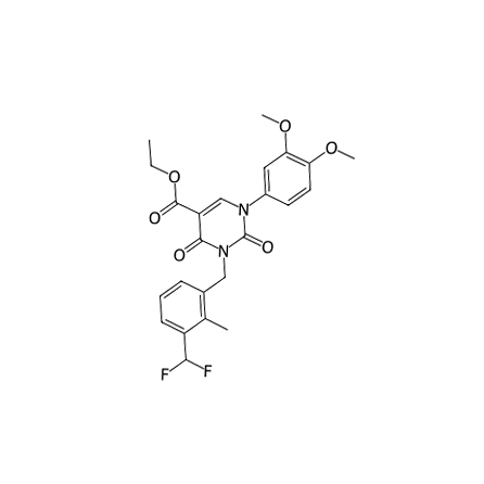 CCOC(=O)c1cn(-c2ccc(OC)c(OC)c2)c(=O)n(Cc2cccc(C(F)F)c2C)c1=O